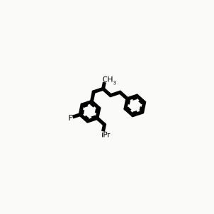 CC(C)Cc1cc(F)cc(CC(C)CCc2ccccc2)c1